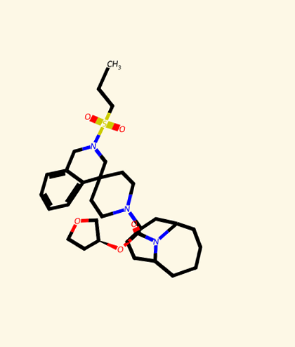 CCCS(=O)(=O)N1Cc2ccccc2C2(CCN(C3CCC4CCCCC(C3)N4C(=O)O[C@H]3CCOC3)CC2)C1